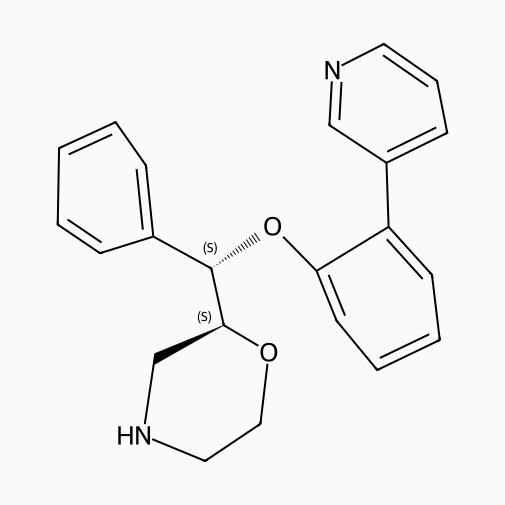 c1ccc([C@H](Oc2ccccc2-c2cccnc2)[C@@H]2CNCCO2)cc1